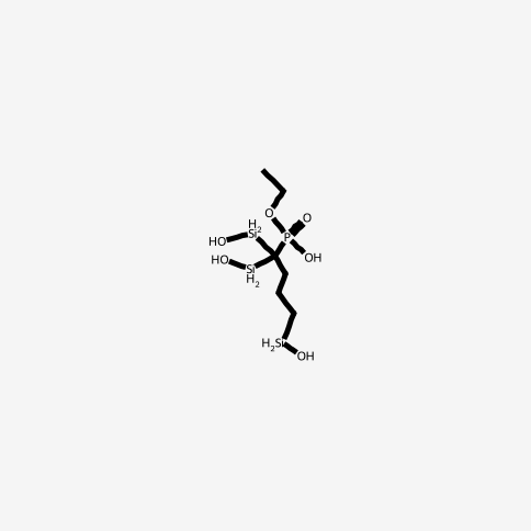 CCOP(=O)(O)C(CCC[SiH2]O)([SiH2]O)[SiH2]O